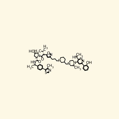 CNc1nnc(-c2ccccc2O)cc1N1CCN(CC2CCCN(CCCc3cc([C@H](C(=O)N4C[C@H](O)C[C@H]4C(=O)N[C@@H](C)c4ccc(-c5scnc5C)cc4)C(C)C)on3)C2)C[C@@H]1C